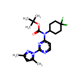 Cc1cc(C)n(-c2nccc(N(C(=O)OC(C)(C)C)C3CCC(F)(F)CC3)n2)n1